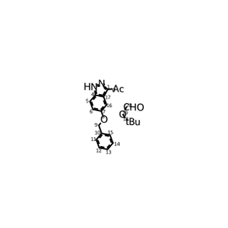 CC(=O)c1n[nH]c2ccc(OCc3ccccc3)cc12.CC(C)(C)OC=O